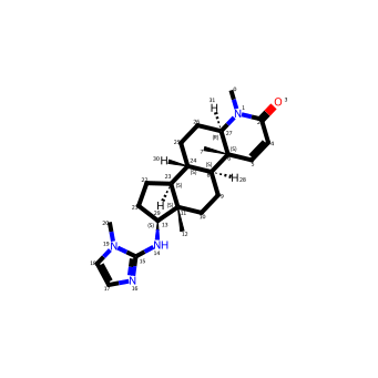 CN1C(=O)C=C[C@]2(C)[C@H]3CC[C@]4(C)[C@@H](Nc5nccn5C)CC[C@H]4[C@@H]3CC[C@@H]12